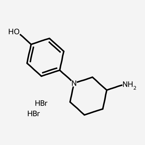 Br.Br.NC1CCCN(c2ccc(O)cc2)C1